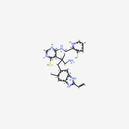 C=Cc1nc2cc(C)c(CC(C)(CN)c3c(S)ncnc3NCc3ncccc3F)cc2[nH]1